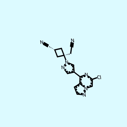 N#CC[C@]1(n2cc(-c3nc(Cl)cn4nccc34)cn2)C[C@H](C#N)C1